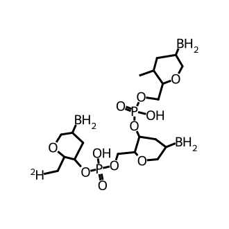 [2H]CC1OCC(B)CC1OP(=O)(O)OCC1OCC(B)CC1OP(=O)(O)OCC1OCC(B)CC1C